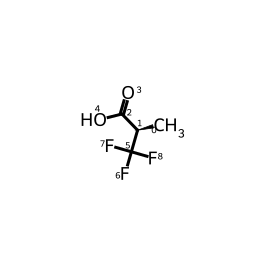 C[C@H](C(=O)O)C(F)(F)F